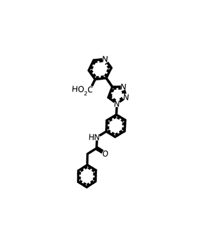 O=C(Cc1ccccc1)Nc1cccc(-n2cc(-c3cnccc3C(=O)O)nn2)c1